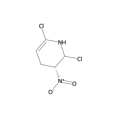 O=[N+]([O-])[C@@H]1CC=C(Cl)NC1Cl